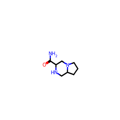 NC(=O)C1CN2CCCC2CN1